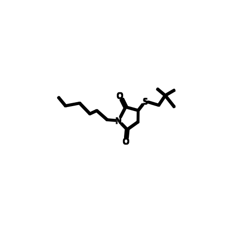 CCCCCCN1C(=O)CC(SCC(C)(C)C)C1=O